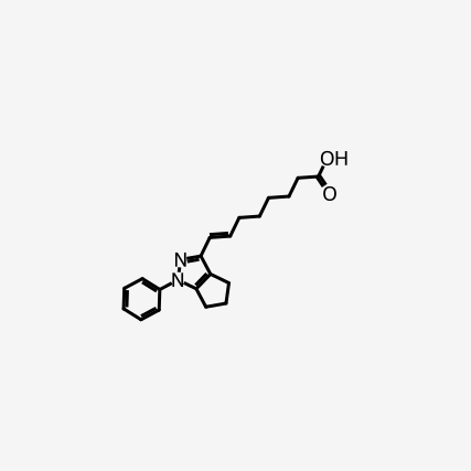 O=C(O)CCCCCC=Cc1nn(-c2ccccc2)c2c1CCC2